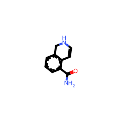 NC(=O)c1cccc2c1C=CNC2